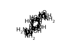 Nc1nc(N)c2ncn([C@@H]3O[C@@H]4COP(=O)(O)OC5C(O)[C@H](n6cnc7c(=O)[nH]c(N)nc76)O[C@@H]5COP(=O)(O)OC4C3O)c2n1